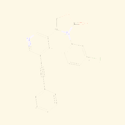 O=C1OCC(c2cncc(C#Cc3ccccc3)c2)N1c1cccc(Cl)c1